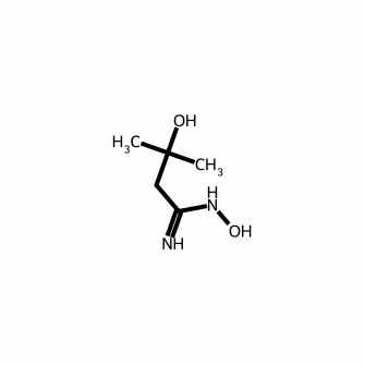 CC(C)(O)CC(=N)NO